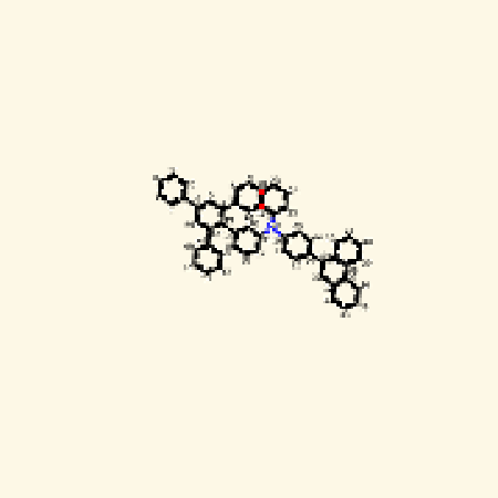 c1ccc(-c2cc(-c3ccccc3)c(-c3cccc(N(c4ccccc4)c4ccc(-c5cc6ccccc6c6ccccc56)cc4)c3)c(-c3ccccc3)c2)cc1